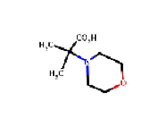 CC(C)(C(=O)O)N1CCOCC1